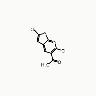 CC(=O)c1cc2cc(Cl)sc2nc1Cl